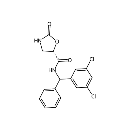 O=C1NC[C@@H](C(=O)NC(c2ccccc2)c2cc(Cl)cc(Cl)c2)O1